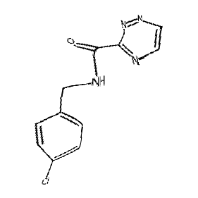 O=C(NCc1ccc(Cl)cc1)c1nccnn1